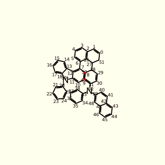 C1=Cc2cccc(-c3cccc4c3c3ccccc3n4-c3ccccc3)c2C(C2C=CC(N(c3ccccc3)c3ccc4ccccc4c3)=CC2)C1